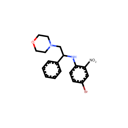 O=[N+]([O-])c1cc(Br)ccc1NC(CN1CCOCC1)c1ccccc1